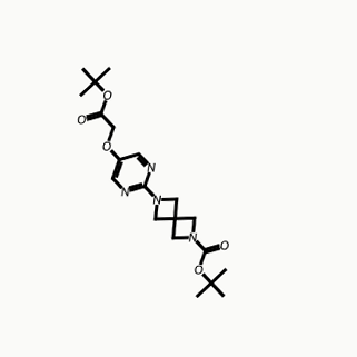 CC(C)(C)OC(=O)COc1cnc(N2CC3(CN(C(=O)OC(C)(C)C)C3)C2)nc1